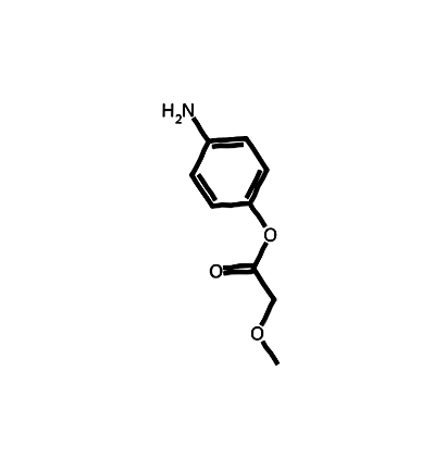 COCC(=O)Oc1ccc(N)cc1